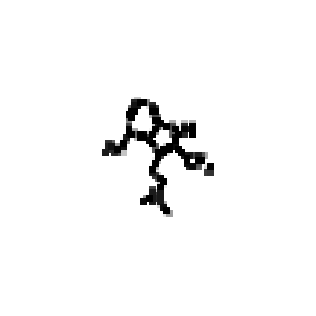 CC(=O)c1cccc2[nH]c(C(F)(F)F)c(CCN(C)C)c12